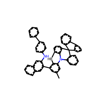 Cc1cc(-c2cc3ccccc3cc2Nc2ccc(-c3ccccc3)cc2)c2c(c1)N1c3ccccc3C3(c4ccccc4-c4ccccc43)c3cccc(c31)B2